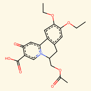 CCOc1cc2c(cc1OCC)-c1cc(=O)c(C(=O)O)cn1C(COC(C)=O)C2